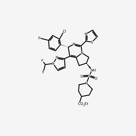 CCOC(=O)C1CCN(S(=O)(=O)N[C@H]2CC3=C(c4ccn(C(F)F)n4)[C@H](c4ccc(F)cc4Cl)N=C(c4nccs4)N3C2)CC1